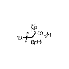 Br.CCC(F)(F)C[C@H](N)C(=O)O